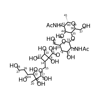 CC(=O)NC1C(O)[C@H](O[C@H](O)C2(O)C(O)[C@H](O)C2CO[C@@H](O)C(C)(O)C(O)[C@H](O)CCO)C(CO)O[C@H]1O[C@@H]1C(CO)O[C@@H](C)C(NC(C)=O)C1O